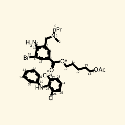 CCCN(C)Cc1cc(C(=O)OCCCCCOC(C)=O)cc(Br)c1N.Clc1cccc(Cl)c1Nc1ccccc1